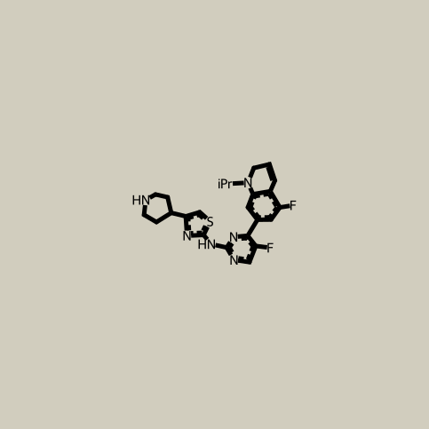 CC(C)N1CC=Cc2c(F)cc(-c3nc(Nc4nc(C5CCNCC5)cs4)ncc3F)cc21